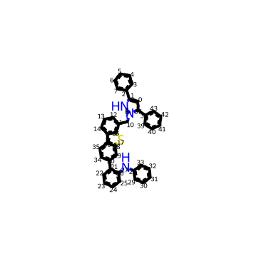 C1=C(c2ccccc2)NN(Cc2cccc3c2sc2cc(-c4ccccc4Nc4ccccc4)ccc23)C1c1ccccc1